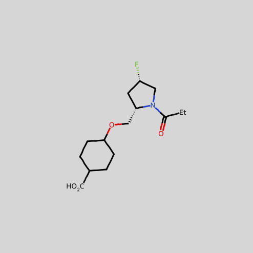 CCC(=O)N1C[C@@H](F)C[C@H]1COC1CCC(C(=O)O)CC1